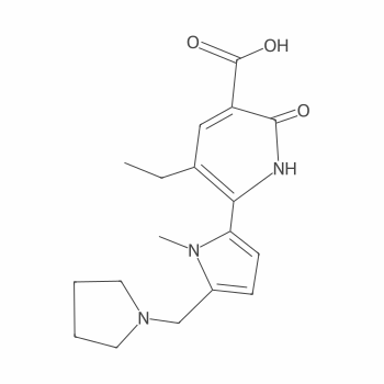 CCc1cc(C(=O)O)c(=O)[nH]c1-c1ccc(CN2CCCC2)n1C